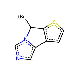 CC(C)(C)C1c2sccc2-c2cncn21